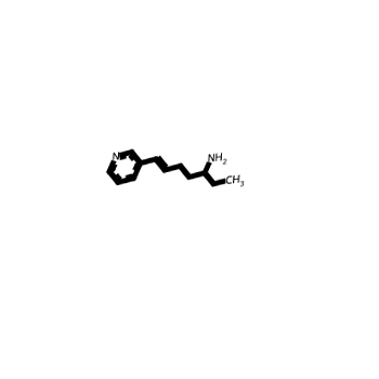 CCC(N)CC/C=C/c1cccnc1